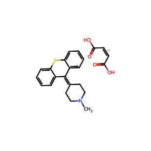 CN1CCC(=C2c3ccccc3Sc3ccccc32)CC1.O=C(O)/C=C\C(=O)O